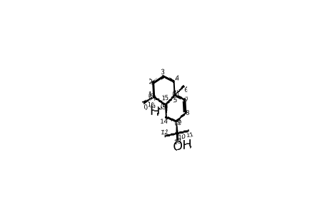 C[C@H]1CCC[C@]2(C)C=C[C@@H](C(C)(C)O)C[C@@H]12